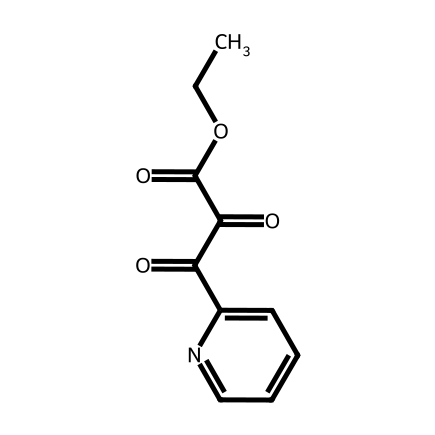 CCOC(=O)C(=O)C(=O)c1ccccn1